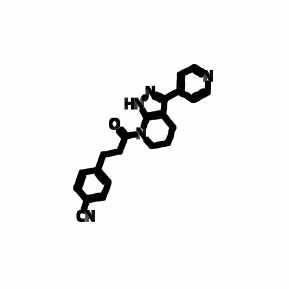 N#Cc1ccc(CCC(=O)N2CCCc3c(-c4ccncc4)n[nH]c32)cc1